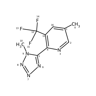 Cc1cnc(-c2nnnn2C)c(C(F)(F)F)c1